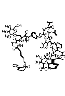 CCC(C)C(C(CC(=O)N1CCCC1C(OC)C(C)C(=O)NC(C)C(OC1OC(C(=O)O)C(O)C(O)C1O)c1ccccc1)OC)N(C)C(=O)C(NC(=O)C(C(C)C)N(C)C(=O)OCc1ccc(NC(=O)C(COC2OC(CO)C(O)C(O)C2O)NC(=O)C(NC(=O)CCCCCN2C(=O)CCC2=O)C(C)C)cc1)C(C)C